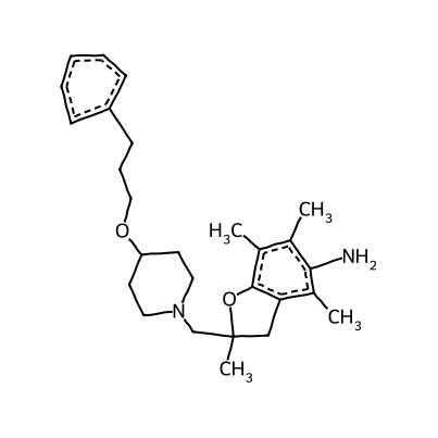 Cc1c(C)c2c(c(C)c1N)CC(C)(CN1CCC(OCCCc3ccccc3)CC1)O2